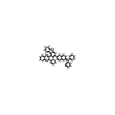 c1ccc(-c2nc3ccccc3nc2-c2cc(-c3ccc4cc(N(c5ccccc5)c5ccccc5)ccc4c3)cc3oc4ccccc4c23)cc1